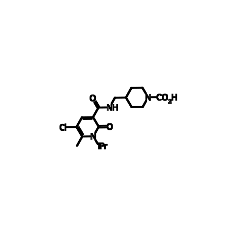 Cc1c(Cl)cc(C(=O)NCC2CCN(C(=O)O)CC2)c(=O)n1C(C)C